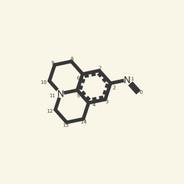 C=Nc1cc2c3c(c1)CCCN3CCC2